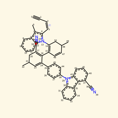 C#C/C=C\c1c(C)c2ccccc2n1C1=C(C2=C(C#N)CC(C)C=C2c2ccc(-n3c4ccccc4c4c(C#N)cccc43)cc2)C=CC(C)C1